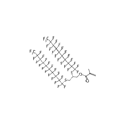 C=C(C)C(=O)OCC(CSC(F)(F)C(F)(F)C(F)(F)C(F)(F)C(F)(F)C(F)(F)C(F)(F)C(F)(F)C(F)(F)C(F)(F)F)SC(F)(F)C(F)(F)C(F)(F)C(F)(F)C(F)(F)C(F)(F)C(F)(F)C(F)(F)C(F)(F)C(F)(F)F